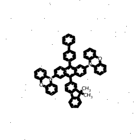 CC1(C)c2ccccc2-c2ccc(-c3c4ccc(N5c6ccccc6Oc6ccccc65)cc4c(-c4ccc(-c5ccccc5)cc4)c4ccc(N5c6ccccc6Oc6ccccc65)cc34)cc21